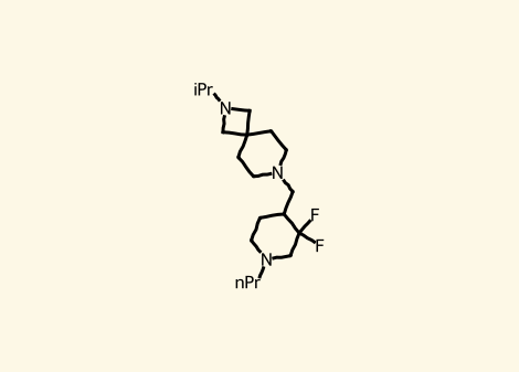 CCCN1CCC(CN2CCC3(CC2)CN(C(C)C)C3)C(F)(F)C1